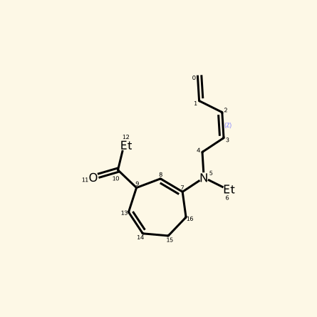 C=C/C=C\CN(CC)C1=CC(C(=O)CC)C=CCC1